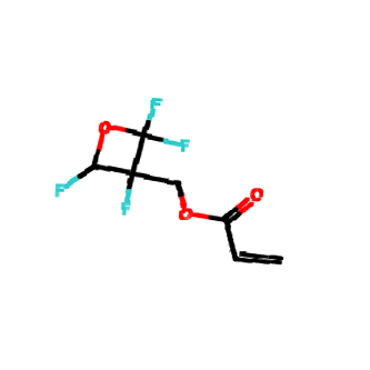 C=CC(=O)OCC1(F)C(F)OC1(F)F